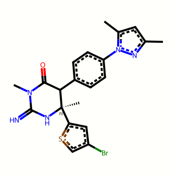 Cc1cc(C)n(-c2ccc(C3C(=O)N(C)C(=N)N[C@]3(C)c3cc(Br)cs3)cc2)n1